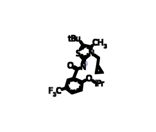 Cc1c(C(C)(C)C)s/c(=N\C(=O)c2cc(C(F)(F)F)ccc2OC(C)C)n1CC1CC1